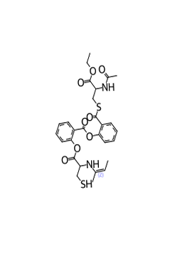 C/C=C(/C)NC(CS)C(=O)Oc1ccccc1C(=O)Oc1ccccc1C(=O)SCC(NC(C)=O)C(=O)OCC